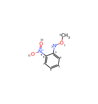 CO[N]c1ccccc1[N+](=O)[O-]